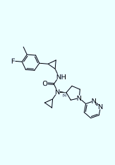 Cc1cc(C2CC2NC(=O)N(C2CC2)[C@H]2CCN(c3cccnn3)C2)ccc1F